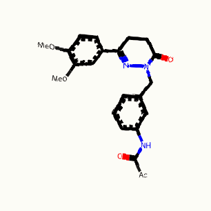 COc1ccc(C2=NN(Cc3cccc(NC(=O)C(C)=O)c3)C(=O)CC2)cc1OC